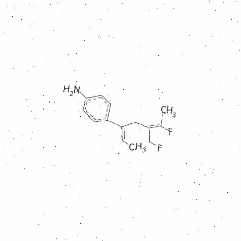 C/C=C(\C/C(CF)=C(\C)F)c1ccc(N)cc1